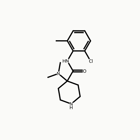 Cc1cccc(Cl)c1NC(=O)C1(N(C)C)CCNCC1